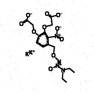 CCN(CC)[N+]([O-])=NOCc1ccc(OCC(=O)[O-])c(OCC(=O)[O-])c1[N+](=O)[O-].[K+].[K+]